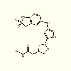 CC(C)NC(=O)O[C@@H]1CO[C@H](c2cc(Nc3ccc4c(c3)CS(=O)(=O)N4)n[nH]2)C1